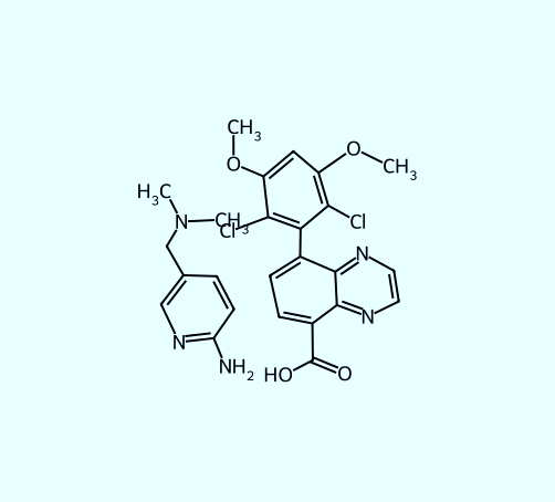 CN(C)Cc1ccc(N)nc1.COc1cc(OC)c(Cl)c(-c2ccc(C(=O)O)c3nccnc23)c1Cl